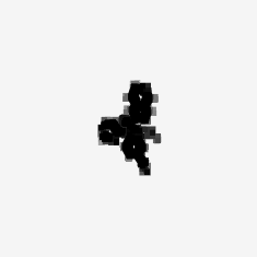 Cc1cc(C#N)ccc1N(c1ccncn1)S(=O)(=O)c1ccc2cnccc2c1